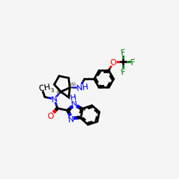 CCN(C(=O)c1nc2ccccc2[nH]1)[C@@]12CCC[C@]1(NCc1cccc(OC(F)(F)F)c1)C2